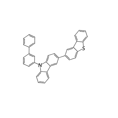 c1ccc(-c2cccc(-n3c4ccccc4c4cc(-c5ccc6sc7ccccc7c6c5)ccc43)c2)cc1